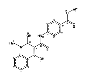 CCCCCCN1c2ccccc2C(O)=C(C(=O)Nc2ccc(C(=O)OCCC)cc2)C1O